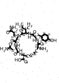 CC[C@H](C)C1NC(=O)[C@H](Cc2ccc(O)cc2)NC(=O)[C@@H](N)CSSC[C@@H](C(=O)O)NC(=O)[C@H](CC(N)=O)NC(=O)[C@H](CCC(N)=O)NC1=O